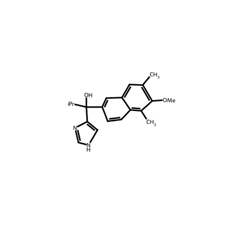 COc1c(C)cc2cc(C(O)(c3c[nH]cn3)C(C)C)ccc2c1C